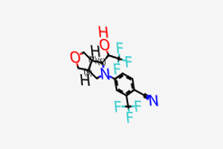 N#Cc1ccc(N2C[C@H]3COC[C@H]3[C@H]2C(O)C(F)(F)F)cc1C(F)(F)F